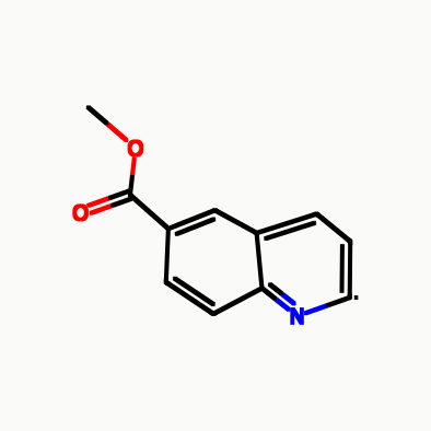 COC(=O)c1ccc2n[c]ccc2c1